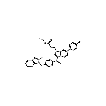 CCOC(=O)CCn1cc(C(=O)c2ccc(Cn3c(C)nc4cnccc43)cc2)c2ccc(-c3ccc(F)cc3)cc21